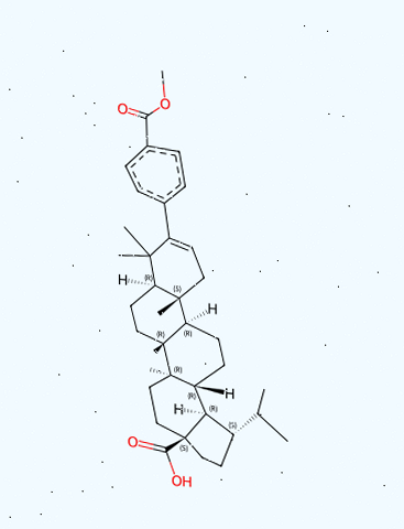 COC(=O)c1ccc(C2=CC[C@]3(C)[C@H]4CC[C@@H]5[C@H]6[C@H](C(C)C)CC[C@]6(C(=O)O)CC[C@@]5(C)[C@]4(C)CC[C@H]3C2(C)C)cc1